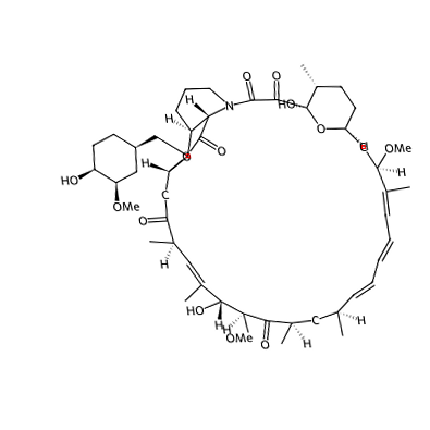 CO[C@@H]1C(=O)[C@H](C)C[C@H](C)/C=C/C=C/C=C(\C)[C@H](OC)C[C@@H]2CC[C@@H](C)[C@@](O)(O2)C(=O)C(=O)N2CCC[C@@H]3C(C[C@@H]4CC[C@H](O)[C@H](OC)C4)[C@H](CC(=O)[C@H](C)/C=C(\C)[C@H]1O)OC(=O)[C@H]32